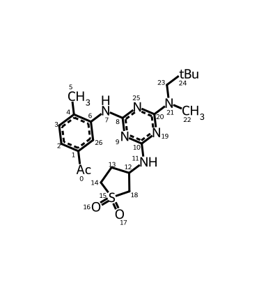 CC(=O)c1ccc(C)c(Nc2nc(NC3CCS(=O)(=O)C3)nc(N(C)CC(C)(C)C)n2)c1